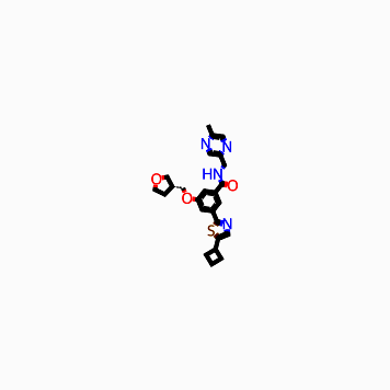 Cc1cnc(CNC(=O)c2cc(OC[C@@H]3CCOC3)cc(-c3ncc(C4CCC4)s3)c2)cn1